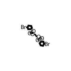 O=S(=O)(OCCOS(=O)(=O)c1cccc(Br)c1)c1cccc(Br)c1